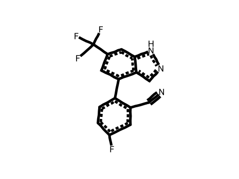 N#Cc1cc(F)ccc1-c1cc(C(F)(F)F)cc2[nH]ncc12